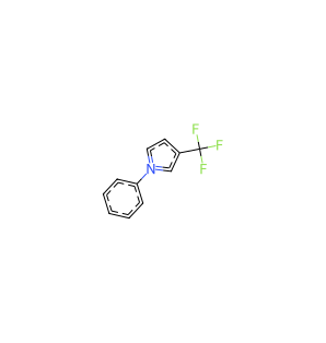 FC(F)(F)c1ccn(-c2ccccc2)c1